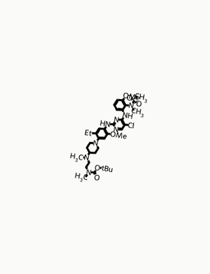 CCc1cc(Nc2ncc(Cl)c(Nc3cccc(OC)c3N(C)S(C)(=O)=O)n2)c(OC)cc1N1CCC(N(C)CCN(C)C(=O)OC(C)(C)C)CC1